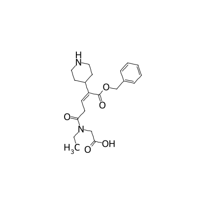 CCN(CC(=O)O)C(=O)C/C=C(\C(=O)OCc1ccccc1)C1CCNCC1